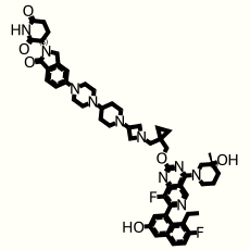 CCc1c(F)ccc2cc(O)cc(-c3ncc4c(N5CCC[C@@](C)(O)C5)nc(OCC5(CN6CC(N7CCC(N8CCN(c9ccc%10c(c9)CN([C@H]9CCC(=O)NC9=O)C%10=O)CC8)CC7)C6)CC5)nc4c3F)c12